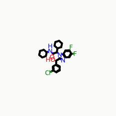 O=C(NC1CCCCC1)C(C1CCCCC1)n1c([C@@H](O)c2cccc(Cl)c2)nc2cc(F)c(F)cc21